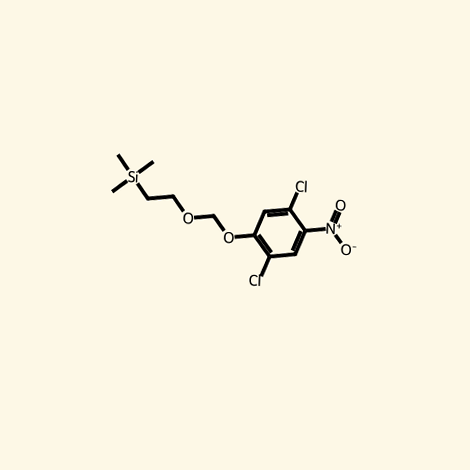 C[Si](C)(C)CCOCOc1cc(Cl)c([N+](=O)[O-])cc1Cl